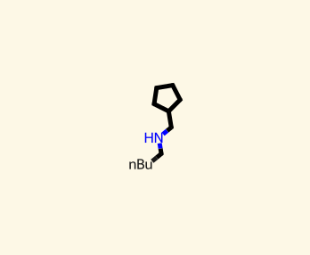 CCCCCNCC1CCCC1